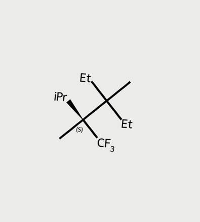 CCC(C)(CC)[C@](C)(C(C)C)C(F)(F)F